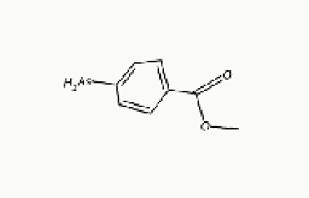 COC(=O)c1ccc([AsH2])cc1